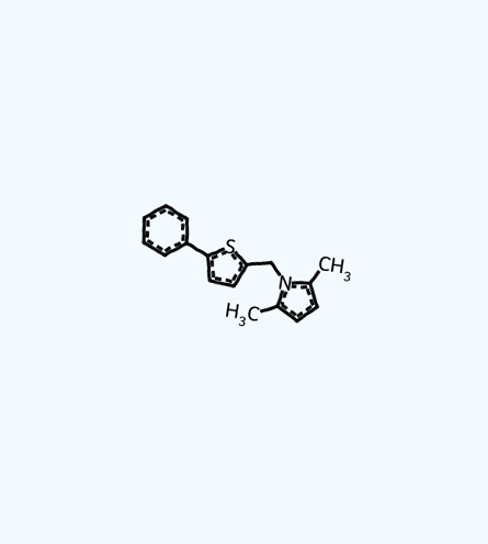 Cc1ccc(C)n1Cc1ccc(-c2ccccc2)s1